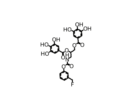 O=C(NCC(COC(=O)c1cc(O)c(O)c(O)c1)OC(=O)c1cc(O)c(O)c(O)c1)Oc1cccc(CF)c1